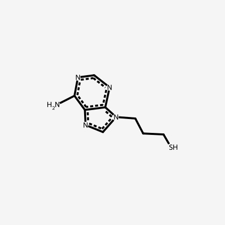 Nc1ncnc2c1ncn2CCCS